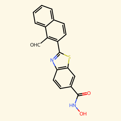 O=Cc1c(-c2nc3ccc(C(=O)NO)cc3s2)ccc2ccccc12